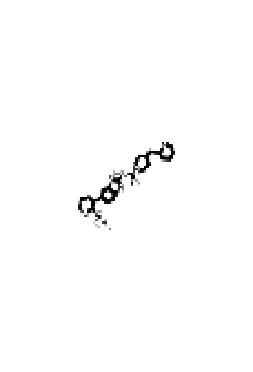 COc1ncccc1-c1ccc2nc(NC(=O)N3CCC(=Cc4ccccn4)CC3)sc2c1